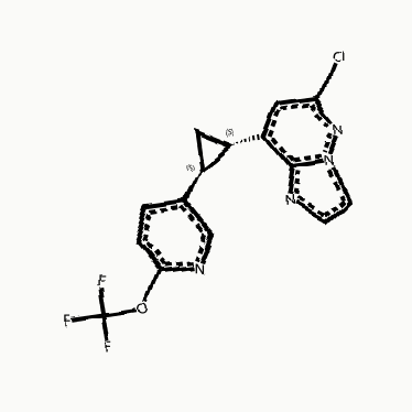 FC(F)(F)Oc1ccc([C@H]2C[C@@H]2c2cc(Cl)nn3ccnc23)cn1